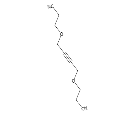 N#CCCOCC#CCOCCC#N